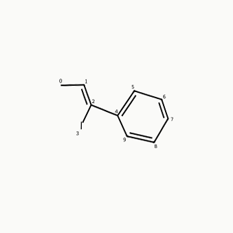 CC=C(I)c1ccccc1